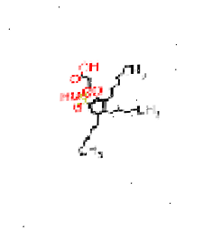 CCCCCc1cc(S(=O)(=O)O)c(OCCC(=O)O)c(CCCCC)c1CCCCC